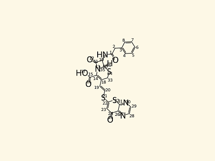 O=C(Cc1ccccc1)NC1C(=O)N2C(C(=O)O)=C(C=CSc3cc(=O)c4nccnc4s3)CS[C@@H]12